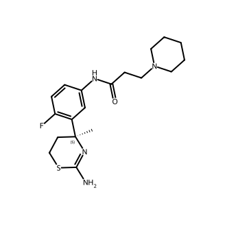 C[C@@]1(c2cc(NC(=O)CCN3CCCCC3)ccc2F)CCSC(N)=N1